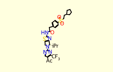 CC(=O)c1cnc(N2Cc3sc(NC(=O)Cc4ccc(S(=O)(=O)CCC5CCCC5)cc4)nc3[C@@H]2C(C)C)nc1C(F)(F)F